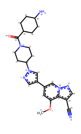 COc1cc(-c2cnn(C3CCN(C(=O)C4CCC(N)CC4)CC3)c2)cn2ncc(C#N)c12